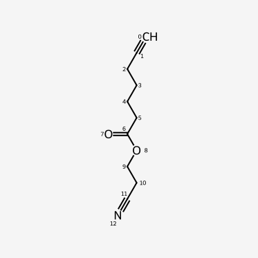 C#CCCCCC(=O)OCCC#N